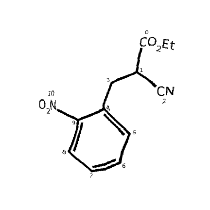 CCOC(=O)C(C#N)Cc1ccccc1[N+](=O)[O-]